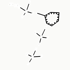 Cc1ccccc1.F.F[B-](F)(F)F.F[B-](F)(F)F.F[B-](F)(F)F.[KH]